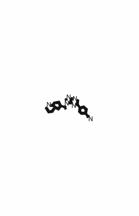 CC(c1ccc2ncccc2c1)n1cnc2ncc(-c3ccc(C#N)cc3)nc21